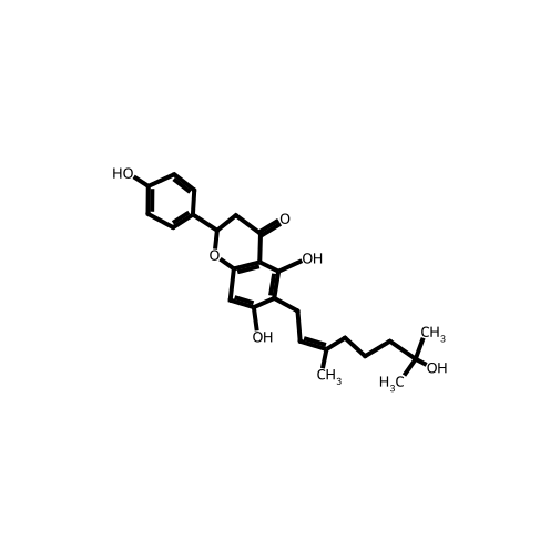 CC(=CCc1c(O)cc2c(c1O)C(=O)CC(c1ccc(O)cc1)O2)CCCC(C)(C)O